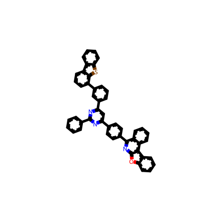 c1ccc(-c2nc(-c3ccc(-c4nc5oc6ccccc6c5c5ccccc45)cc3)cc(-c3cccc(-c4cccc5c4sc4ccccc45)c3)n2)cc1